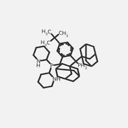 CC(C)(C)c1ccc(C(P)(C23CC4CC(CC(C4)C2)C3)C23CC4CC(CC(C4)C2)C3)c(CP(C2CCCCN2)C2CCCCN2)c1